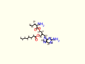 CCCCCCCC(=O)OCC(CCOC(=O)[C@@H](N)[C@@H](C)CC)Cn1cnc2cnc(N)nc21